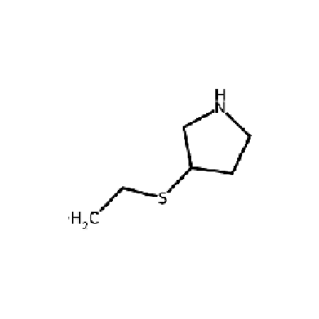 [CH2]CSC1CCNC1